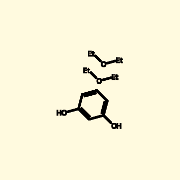 CCOCC.CCOCC.Oc1cccc(O)c1